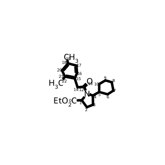 CCOC(=O)C1CCC(C2CCCCC2)N1C(=O)Cc1ccc(C)cc1C